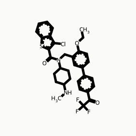 CCOc1ccc(-c2ccc(C(=O)C(F)(F)F)cc2)cc1CN(C(=O)c1sc2ccccc2c1Cl)C1CCC(NC)CC1